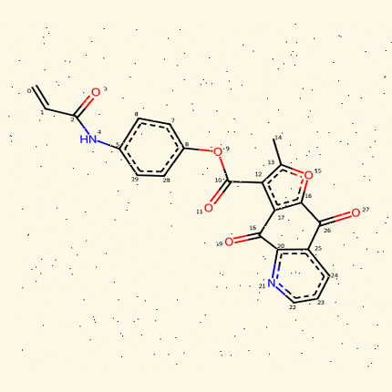 C=CC(=O)Nc1ccc(OC(=O)c2c(C)oc3c2C(=O)c2ncccc2C3=O)cc1